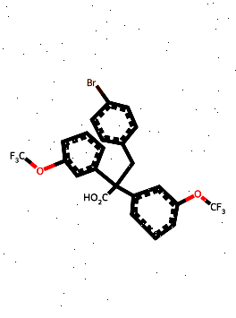 O=C(O)C(Cc1ccc(Br)cc1)(c1cccc(OC(F)(F)F)c1)c1cccc(OC(F)(F)F)c1